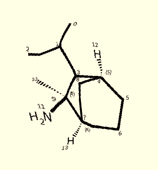 CC(C)C1[C@H]2CC[C@H](C2)[C@@]1(C)N